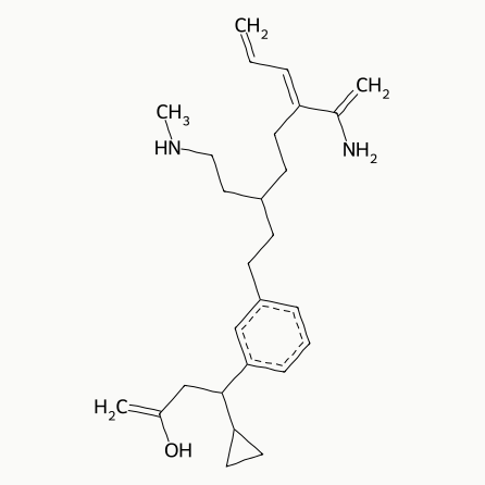 C=C/C=C(\CCC(CCNC)CCc1cccc(C(CC(=C)O)C2CC2)c1)C(=C)N